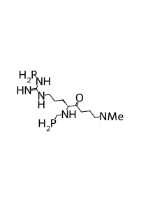 CNCCCC(=O)[C@H](CCCNC(=N)NP)NCP